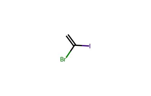 C=C(Br)I